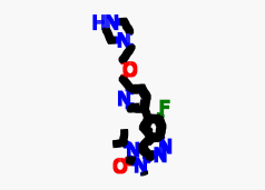 CC(C)n1c(=O)n(C)c2nnc3cc(F)c(-c4ccc(COCCN5CCNCC5)nc4)cc3c21